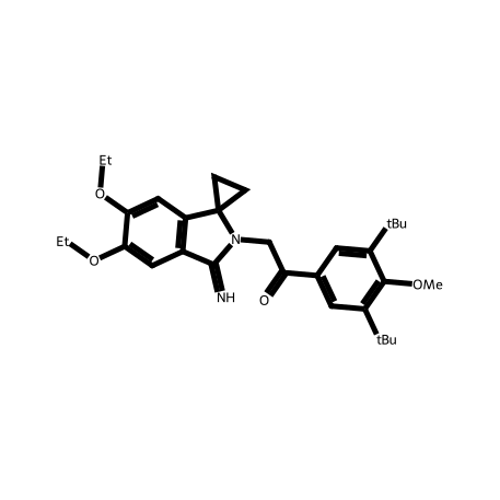 CCOc1cc2c(cc1OCC)C1(CC1)N(CC(=O)c1cc(C(C)(C)C)c(OC)c(C(C)(C)C)c1)C2=N